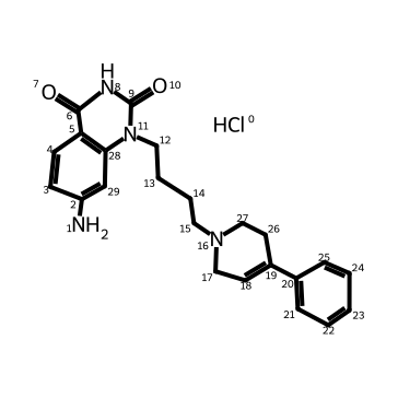 Cl.Nc1ccc2c(=O)[nH]c(=O)n(CCCCN3CC=C(c4ccccc4)CC3)c2c1